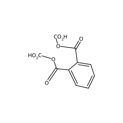 O=C(O)OC(=O)c1ccccc1C(=O)OC(=O)O